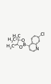 C=C1OB(c2ccnc3cc(Cl)ccc23)OC1(C)C